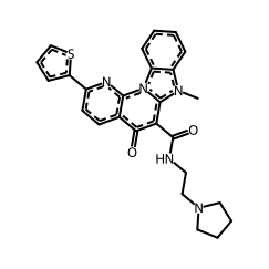 Cn1c2ccccc2n2c3nc(-c4cccs4)ccc3c(=O)c(C(=O)NCCN3CCCC3)c12